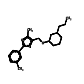 CCCC1CCCC(OCc2nc(-c3cccc(C)c3)oc2C)C1